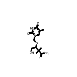 Cc1cn(COC(CO)C(C)(C)C(N)=O)c(=O)[nH]c1=O